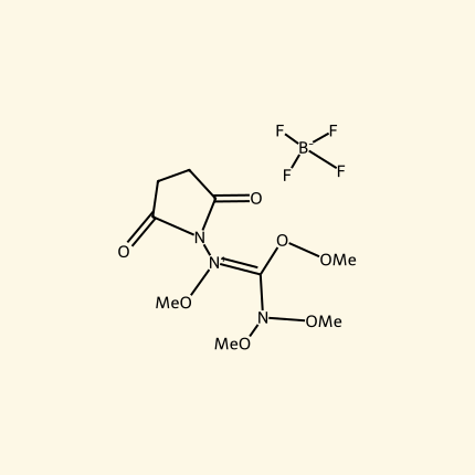 COOC(N(OC)OC)=[N+](OC)N1C(=O)CCC1=O.F[B-](F)(F)F